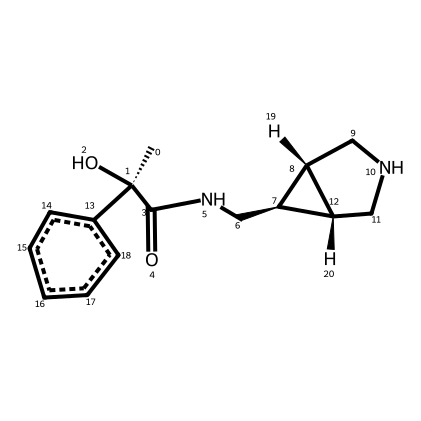 C[C@](O)(C(=O)NC[C@H]1[C@@H]2CNC[C@@H]21)c1ccccc1